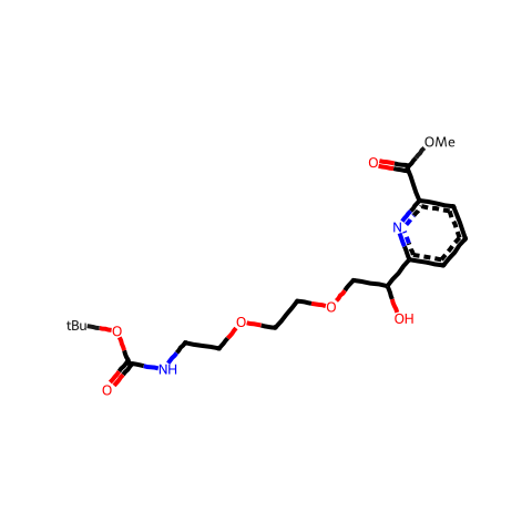 COC(=O)c1cccc(C(O)COCCOCCNC(=O)OC(C)(C)C)n1